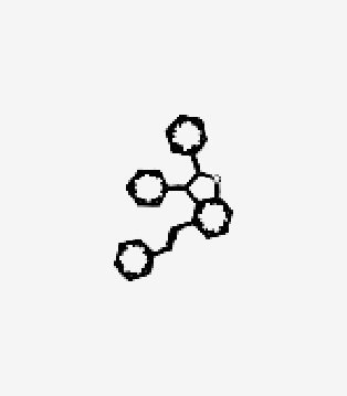 C(=C\c1cccc2c1C(c1ccccc1)C(c1ccccc1)O2)/c1ccccc1